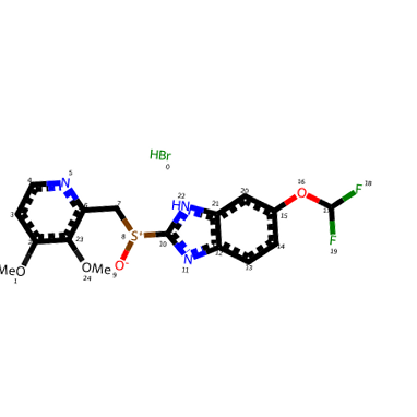 Br.COc1ccnc(C[S+]([O-])c2nc3ccc(OC(F)F)cc3[nH]2)c1OC